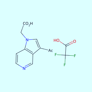 CC(=O)c1cn(CC(=O)O)c2ccncc12.O=C(O)C(F)(F)F